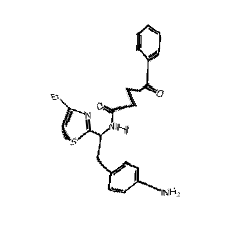 CCc1csc(C(Cc2ccc(N)cc2)NC(=O)CCC(=O)c2ccccc2)n1